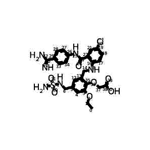 CCOc1cc(CNS(N)(=O)=O)cc(CNc2ccc(Cl)cc2C(=O)Nc2ccc(C(=N)N)cc2)c1OCC(=O)O